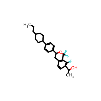 CCCC1CCC(c2ccc(C3Cc4ccc(C(C)O)c(F)c4C(F)(F)O3)cc2)CC1